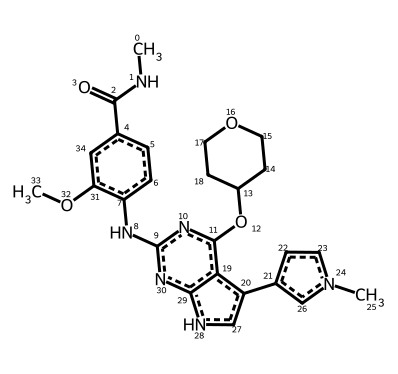 CNC(=O)c1ccc(Nc2nc(OC3CCOCC3)c3c(-c4ccn(C)c4)c[nH]c3n2)c(OC)c1